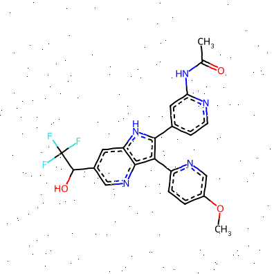 COc1ccc(-c2c(-c3ccnc(NC(C)=O)c3)[nH]c3cc(C(O)C(F)(F)F)cnc23)nc1